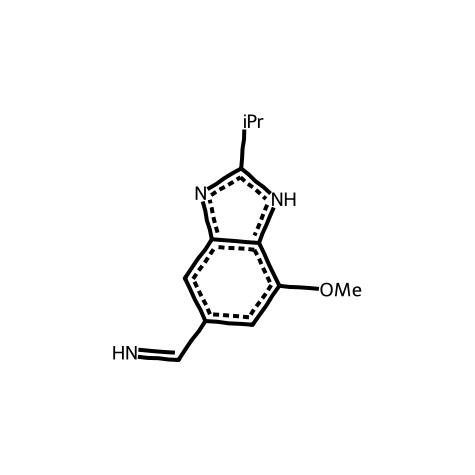 COc1cc(C=N)cc2nc(C(C)C)[nH]c12